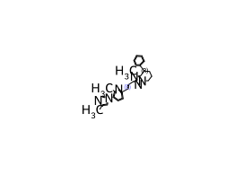 Cc1cn(-c2ccc(/C=C/c3nc4n(n3)CCC[C@@H]4c3ccccc3C)nc2C)cn1